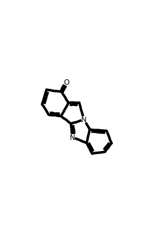 O=C1C=CC=c2c1cn1c2nc2ccccc21